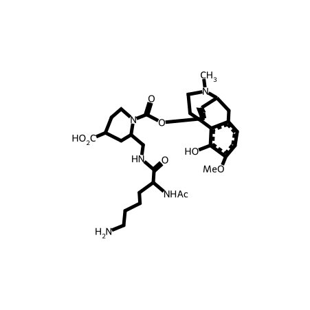 COc1ccc2c(c1O)C13CCN(C)C(C2)C1CC=C(OC(=O)N1CCC(C(=O)O)CC1CNC(=O)C(CCCCN)NC(C)=O)C3